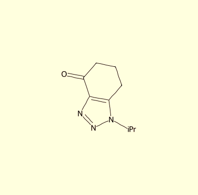 CC(C)n1nnc2c1CCCC2=O